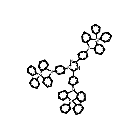 c1ccc([Si]2(c3ccccc3)c3ccccc3N(c3ccc(-c4nc(-c5ccc(N6c7ccccc7[Si](c7ccccc7)(c7ccccc7)c7ccccc76)cc5)n(-c5ccc(N6c7ccccc7[Si](c7ccccc7)(c7ccccc7)c7ccccc76)cc5)n4)cc3)c3ccccc32)cc1